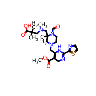 COC(=O)C1=C(CN2CCN(C=O)C(C)(CN(C)CC(C)(C)C(=O)O)C2)NC(c2nccs2)=NC1